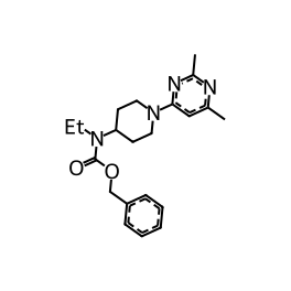 CCN(C(=O)OCc1ccccc1)C1CCN(c2cc(C)nc(C)n2)CC1